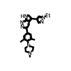 CCn1cc(-c2c[nH]c3nnc(-c4cc(C)c(N5CCN(C)CC5)c(C)c4)cc23)cn1